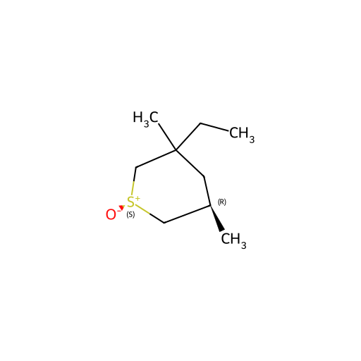 CCC1(C)C[C@@H](C)C[S@@+]([O-])C1